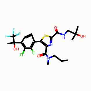 CCCN(C)C(=O)c1nc(C(=O)NCC(C)(C)O)sc1-c1ccc(C(C)(O)C(F)(F)F)c(Cl)c1Cl